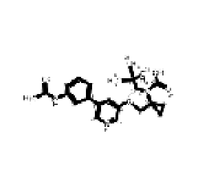 CC(=O)Nc1cccc(-c2cncc(OCC3(N(CC(C)(C)C)C(=O)O)CC3)c2)c1